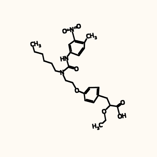 CCCCCCN(CCOc1ccc(CC(OCC)C(=O)O)cc1)C(=O)Nc1ccc(C)c([N+](=O)[O-])c1